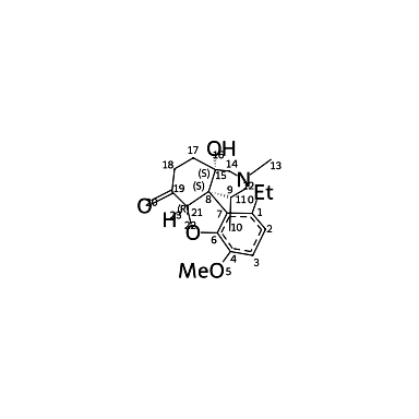 CCc1ccc(OC)c2c1[C@]13C(C)CN(C)C[C@]1(O)CCC(=O)[C@@H]3O2